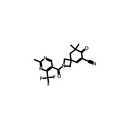 Cc1ncc(C(=O)N2CC3(C=C(C#N)C(=O)C(C)(C)C3)C2)c(C(F)(F)F)n1